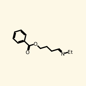 CCN=CCCCOC(=O)c1ccccc1